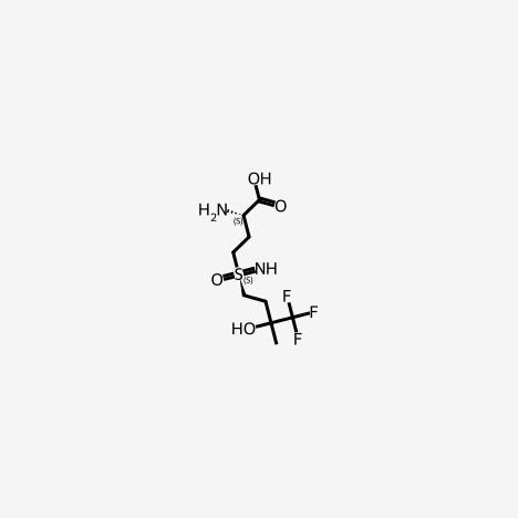 CC(O)(CC[S@@](=N)(=O)CC[C@H](N)C(=O)O)C(F)(F)F